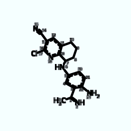 CC(=N)c1cc(NC2CCCc3cc(C#N)c(Cl)nc32)ccc1N